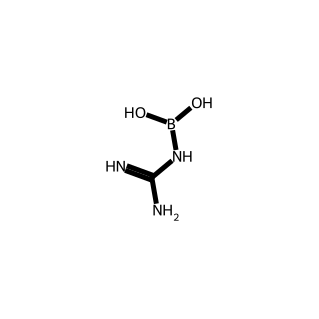 N=C(N)NB(O)O